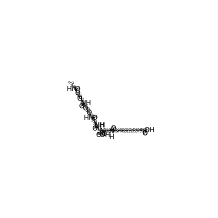 CCCCNC(=O)COCCOCCNC(=O)COCCOCCNC(=O)CCCNC(=O)CC[C@H](NC(=O)CCCNC(=O)CCCCCCCCCCCCCCCCC(=O)O)C(=O)O